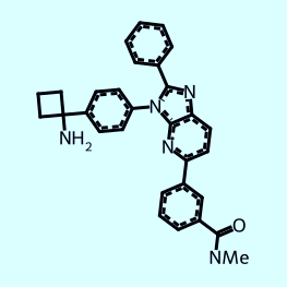 CNC(=O)c1cccc(-c2ccc3nc(-c4ccccc4)n(-c4ccc(C5(N)CCC5)cc4)c3n2)c1